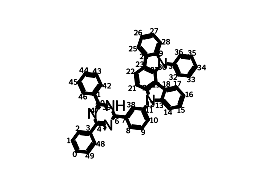 c1ccc(C2=NC(c3cccc(-n4c5ccccc5c5c4ccc4c6ccccc6n(-c6ccccc6)c45)c3)NC(c3ccccc3)=N2)cc1